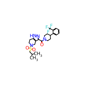 CC(C)CS(=O)(=O)N1CCc2[nH]nc(C(=O)N3CCC(c4ccccc4C(F)(F)F)CC3)c2C1